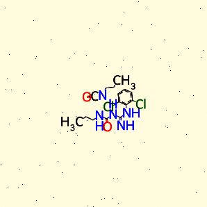 CCCN=C=O.CCCNC(=O)NC(=N)Nc1c(Cl)cccc1Cl